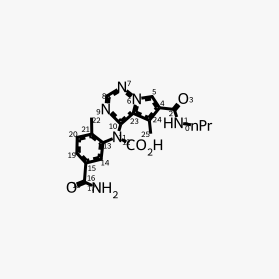 CCCNC(=O)c1cn2ncnc(N(C(=O)O)c3cc(C(N)=O)ccc3C)c2c1C